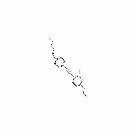 CCCC=Cc1ccc(C#Cc2ccc(CCC)cc2F)cc1